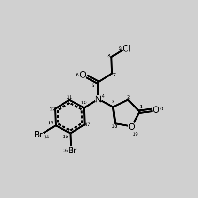 O=C1CC(N(C(=O)CCCl)c2ccc(Br)c(Br)c2)CO1